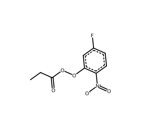 CCC(=O)OOc1cc(F)ccc1[N+](=O)[O-]